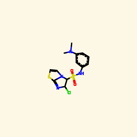 CN(C)c1cccc(NS(=O)(=O)C2C(Cl)N=C3SC=CN32)c1